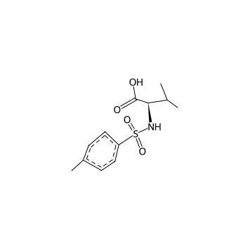 Cc1ccc(S(=O)(=O)N[C@@H](C(=O)O)C(C)C)cc1